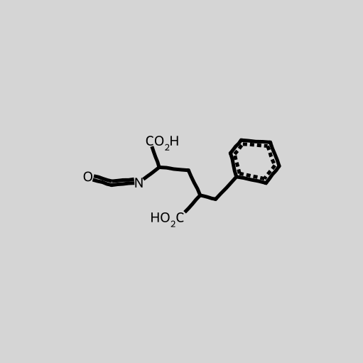 O=C=NC(CC(Cc1ccccc1)C(=O)O)C(=O)O